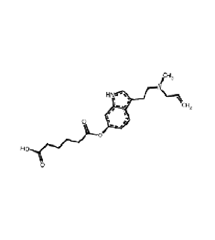 C=CCN(C)CCc1c[nH]c2cc(OC(=O)CCCCC(=O)O)ccc12